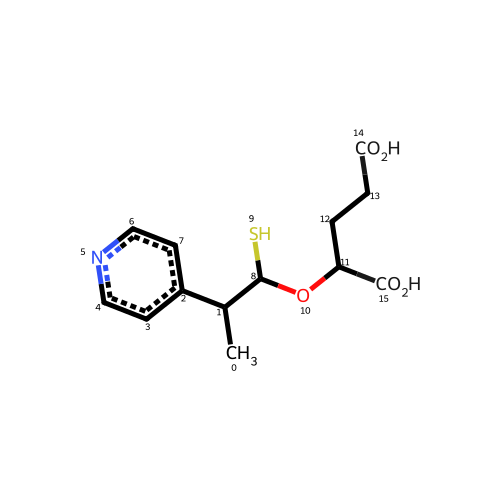 CC(c1ccncc1)C(S)OC(CCC(=O)O)C(=O)O